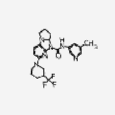 Cc1cncc(NC(=O)N2c3nc(N4CCCC(C(F)(F)F)C4)ccc3N3CCCC32)c1